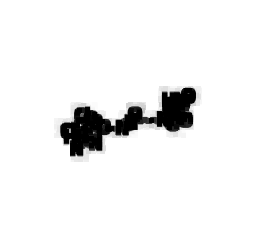 COc1cc(Nc2c(C#N)cnc3cc(OCCCN4CCN(C(=O)CCCCCNc5cccc6c5C(=O)N(C5CCC(=O)NC5=O)C6=O)CC4)c(OC)cc23)c(Cl)cc1Cl